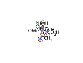 COc1ccc(F)cc1[C@H](Cn1c(=O)n(C(C)(C)C(=O)O)c(=O)c2c(C)c(-c3ncsn3)sc21)O[C@H]1C[C@H]2CC[C@@H](C1)O2